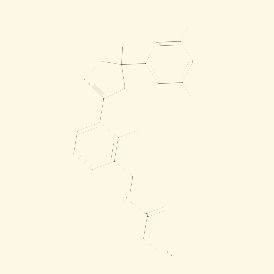 N#CCC(=O)NCc1cccc(C2=NOC(c3cc(Cl)cc(Cl)c3)(C(F)(F)F)C2)c1Cl